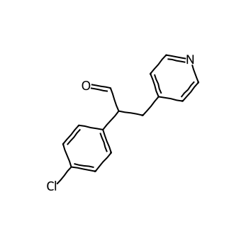 O=CC(Cc1ccncc1)c1ccc(Cl)cc1